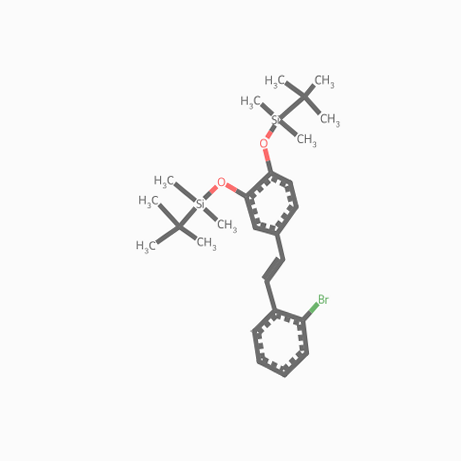 CC(C)(C)[Si](C)(C)Oc1ccc(/C=C/c2[c]cccc2Br)cc1O[Si](C)(C)C(C)(C)C